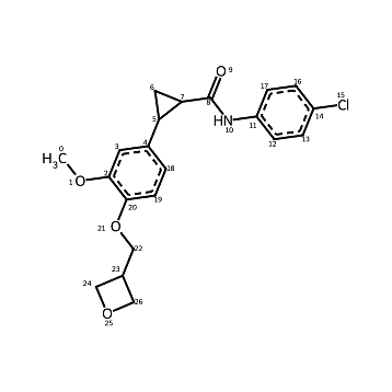 COc1cc(C2CC2C(=O)Nc2ccc(Cl)cc2)ccc1OCC1COC1